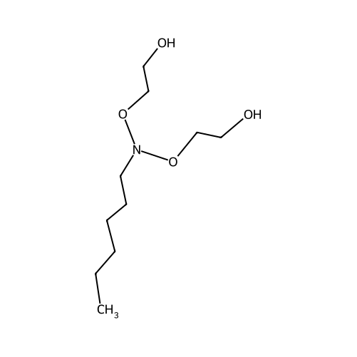 CCCCCCN(OCCO)OCCO